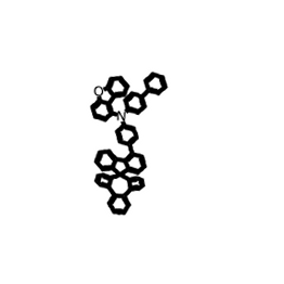 c1ccc(-c2ccc(N(c3ccc(-c4cccc5c4-c4ccccc4C54c5ccccc5-c5ccccc5-c5ccccc54)cc3)c3cccc4oc5ccccc5c34)cc2)cc1